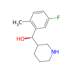 Cc1ccc(F)cc1[C@H](O)C1CCCNC1